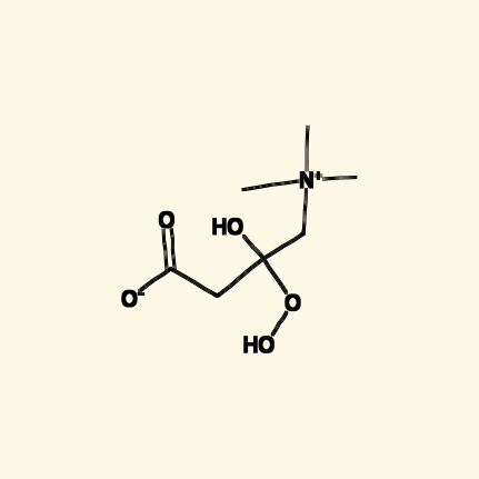 C[N+](C)(C)CC(O)(CC(=O)[O-])OO